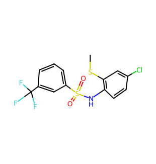 CSc1cc(Cl)ccc1NS(=O)(=O)c1cccc(C(F)(F)F)c1